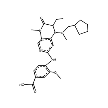 CCC1C(=O)N(C)c2cnc(Nc3ccc(C(=O)O)cc3OC)nc2N1N(C)CC1CCCC1